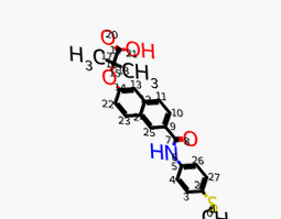 CSc1ccc(NC(=O)c2ccc3cc(OC(C)(C)C(=O)O)ccc3c2)cc1